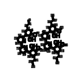 C=CCc1cc(OC)c(O)c(-c2cccc(-c3cccc(-c4cc(CC=C)cc(OC)c4O)n3)n2)c1.C=CCc1cc(OC)c(O)c(-c2cccc(-c3cccc(-c4cc(CC=C)cc(OC)c4O)n3)n2)c1